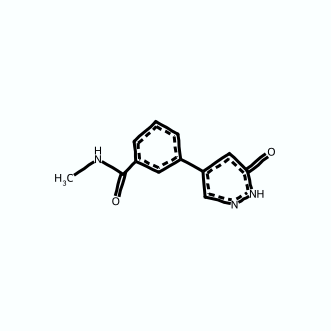 CNC(=O)c1cccc(-c2cn[nH]c(=O)c2)c1